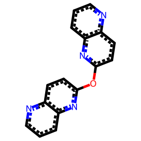 c1cnc2ccc(Oc3ccc4ncccc4n3)nc2c1